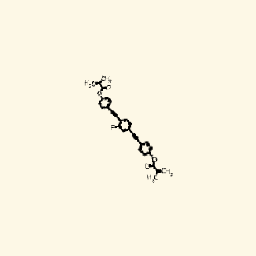 C=C(C)C(=O)Oc1ccc(C#Cc2ccc(C#Cc3ccc(OC(=O)C(=C)C)cc3)c(F)c2)cc1